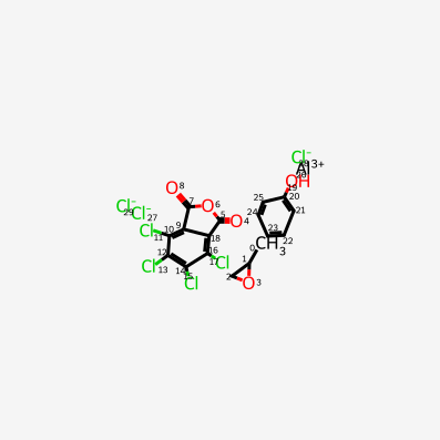 CC1CO1.O=C1OC(=O)c2c(Cl)c(Cl)c(Cl)c(Cl)c21.Oc1ccccc1.[Al+3].[Cl-].[Cl-].[Cl-]